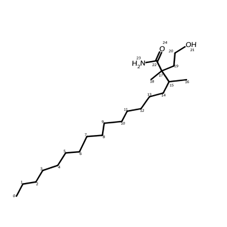 CCCCCCCCCCCCCCCC(C)C(C)(CCO)C(N)=O